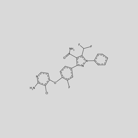 NC(=O)c1c(-c2ccc(Oc3ccnc(N)c3Cl)c(F)c2)nn(-c2ccccc2)c1C(F)F